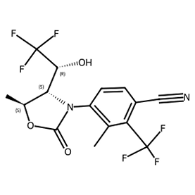 Cc1c(N2C(=O)O[C@@H](C)[C@@H]2[C@@H](O)C(F)(F)F)ccc(C#N)c1C(F)(F)F